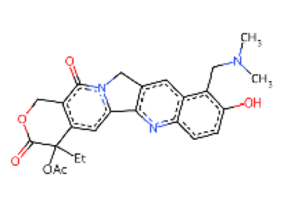 CCC1(OC(C)=O)C(=O)OCc2c1cc1n(c2=O)Cc2cc3c(CN(C)C)c(O)ccc3nc2-1